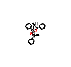 C#C[SiH](O[SiH](O[SiH](C#C)c1ccccc1)c1ccccc1)c1ccccc1